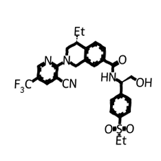 CC[C@H]1CN(c2ncc(C(F)(F)F)cc2C#N)Cc2cc(C(=O)N[C@@H](CO)c3ccc(S(=O)(=O)CC)cc3)ccc21